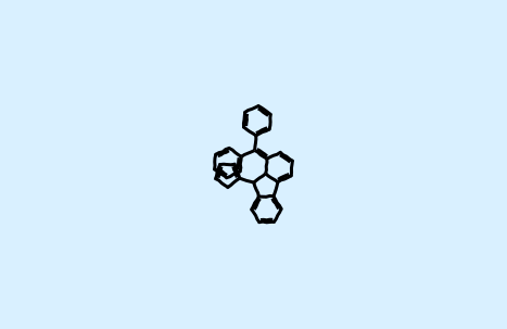 C1=CCC(C2c3ccccc3C3=CC=CC(=C(c4ccccc4)c4ccccc4)C32)=C1